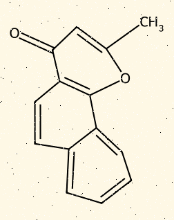 Cc1cc(=O)c2ccc3ccccc3c2o1